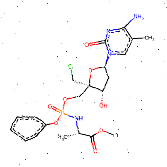 Cc1cn([C@H]2C[C@H](O)[C@@](CCl)(COP(=O)(N[C@@H](C)C(=O)OC(C)C)Oc3ccccc3)O2)c(=O)nc1N